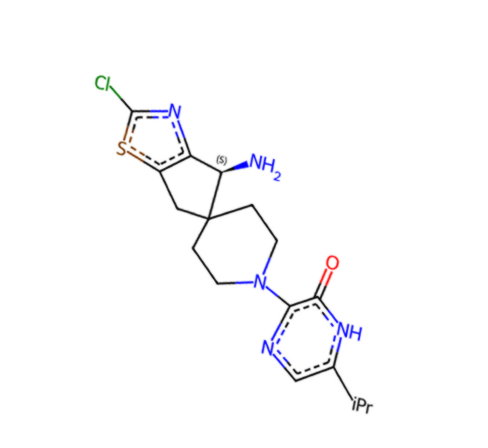 CC(C)c1cnc(N2CCC3(CC2)Cc2sc(Cl)nc2[C@H]3N)c(=O)[nH]1